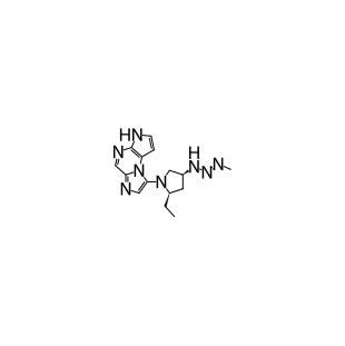 CC[C@@H]1C[C@H](NN=NC)CN1c1cnc2cnc3[nH]ccc3n12